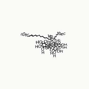 CCCCCCCCCCCCCCCCCCCCCC(=O)N[C@@H](COP(=O)(O)O[C@H]1C(O)C(O)C(O)[C@@H](O)C1O[C@H]1O[C@H](COP(=O)(O)OC2C(O)C(O)C(O)[C@@H](O)C2O)[C@@H](O)C(O)C1O)[C@H](O)[C@H](O)CCCCCCCCCCCCCC